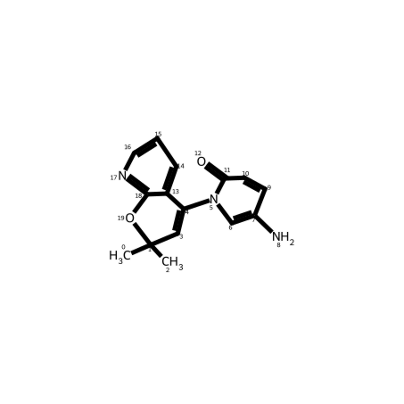 CC1(C)C=C(n2cc(N)ccc2=O)c2cccnc2O1